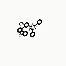 Clc1ccc(-c2nc(-c3ccccc3)nc(-c3ccccc3)n2)cc1-c1cccc2sc3ccccc3c12